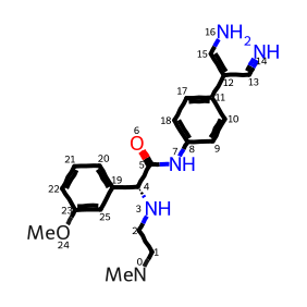 CNCCN[C@@H](C(=O)Nc1ccc(/C(C=N)=C/N)cc1)c1cccc(OC)c1